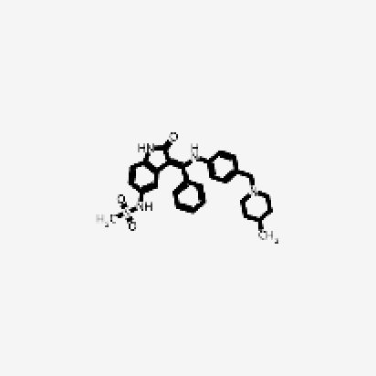 CC1CCN(Cc2ccc(N/C(=C3\C(=O)Nc4ccc(NS(C)(=O)=O)cc43)c3ccccc3)cc2)CC1